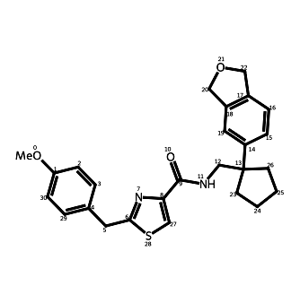 COc1ccc(Cc2nc(C(=O)NCC3(c4ccc5c(c4)COC5)CCCC3)cs2)cc1